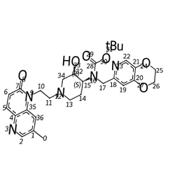 Cc1cnc2ccc(=O)n(CCN3CC[C@H](N(Cc4cc5c(cn4)OCCO5)C(=O)OC(C)(C)C)[C@H](O)C3)c2c1